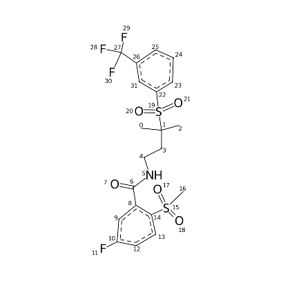 CC(C)(CCNC(=O)c1cc(F)ccc1S(C)(=O)=O)S(=O)(=O)c1cccc(C(F)(F)F)c1